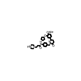 COc1ccc(C2=NN(Cc3ccc(NC(=O)CCN4CCNCC4)cc3)C(=O)CC2)cc1OC1CCCC1